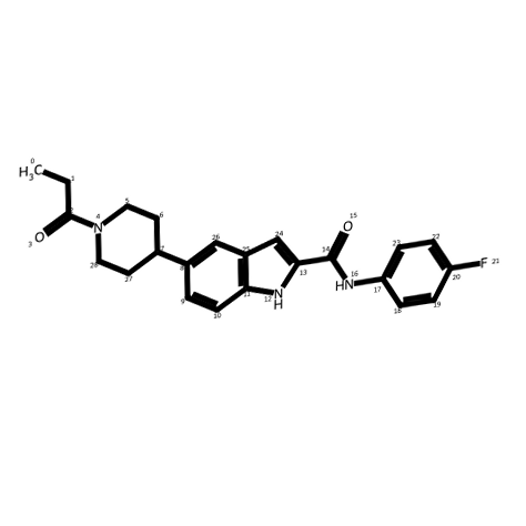 CCC(=O)N1CCC(c2ccc3[nH]c(C(=O)Nc4ccc(F)cc4)cc3c2)CC1